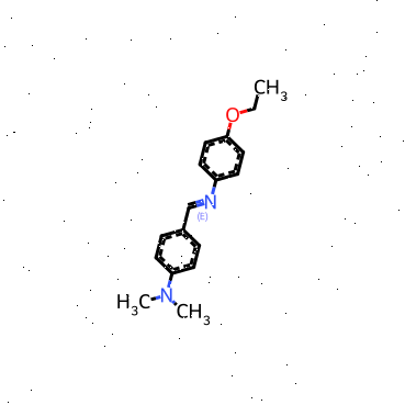 CCOc1ccc(/N=C/c2ccc(N(C)C)cc2)cc1